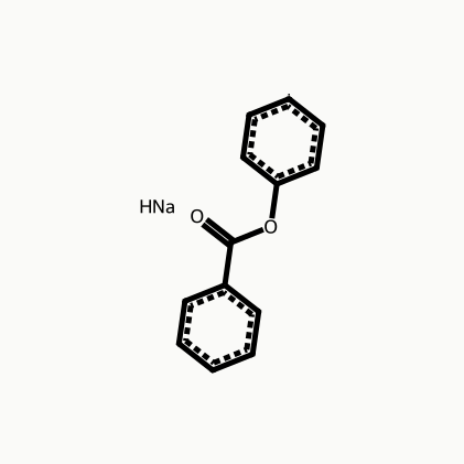 O=C(Oc1cc[c]cc1)c1ccccc1.[NaH]